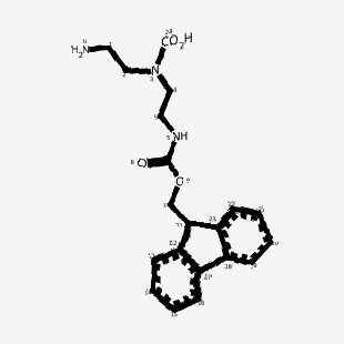 NCCN(CCNC(=O)OCC1c2ccccc2-c2ccccc21)C(=O)O